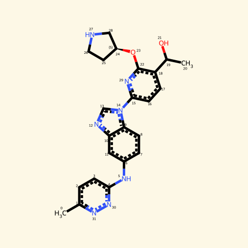 Cc1ccc(Nc2ccc3c(c2)ncn3-c2ccc(C(C)O)c(O[C@H]3CCNC3)n2)nn1